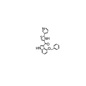 O=C(C1=CSC(c2cccnc2)N1)c1c[nH]c2cccc(OCc3ccccc3)c12